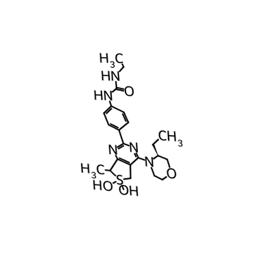 CCNC(=O)Nc1ccc(-c2nc3c(c(N4CCOC[C@@H]4CC)n2)CS(O)(O)C3C)cc1